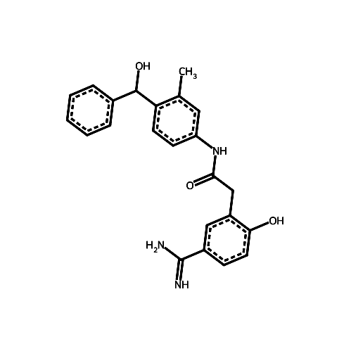 Cc1cc(NC(=O)Cc2cc(C(=N)N)ccc2O)ccc1C(O)c1ccccc1